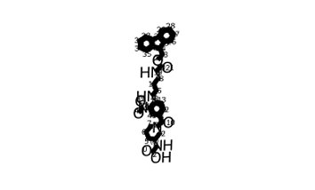 O=C(O)N[C@@H]1CCCN(C(=O)c2ccc(NCCCNC(=O)OCC3c4ccccc4-c4ccccc43)c([N+](=O)[O-])c2)C1